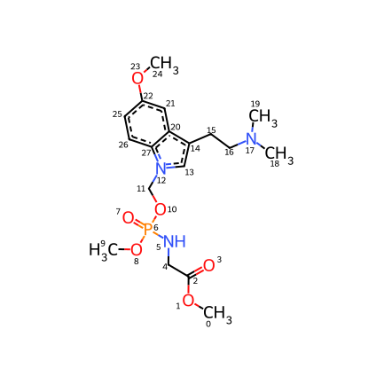 COC(=O)CNP(=O)(OC)OCn1cc(CCN(C)C)c2cc(OC)ccc21